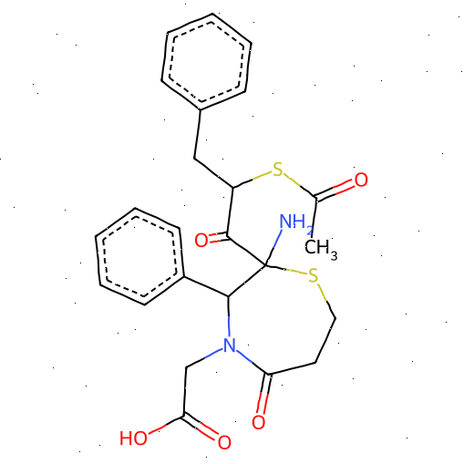 CC(=O)SC(Cc1ccccc1)C(=O)C1(N)SCCC(=O)N(CC(=O)O)C1c1ccccc1